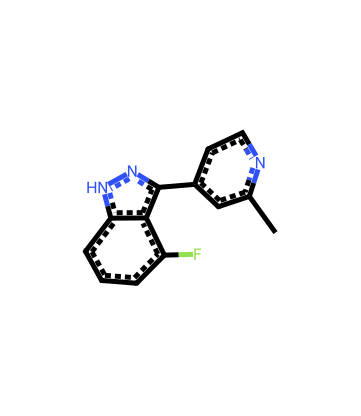 Cc1cc(-c2n[nH]c3cccc(F)c23)ccn1